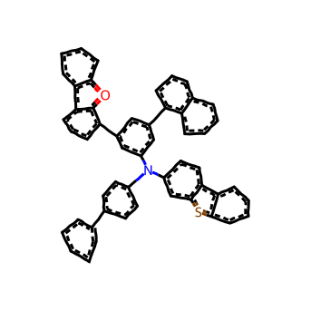 c1ccc(-c2ccc(N(c3cc(-c4cccc5ccccc45)cc(-c4cccc5c4oc4ccccc45)c3)c3ccc4c(c3)sc3ccccc34)cc2)cc1